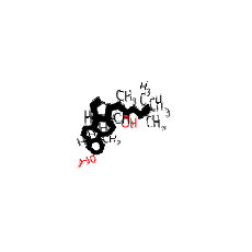 C[C@H](C(O)CCC(C)(C)C)[C@H]1CC[C@H]2[C@@H]3CC[C@H]4C[C@@H](O)CC[C@]4(C)[C@H]3CC[C@]12C